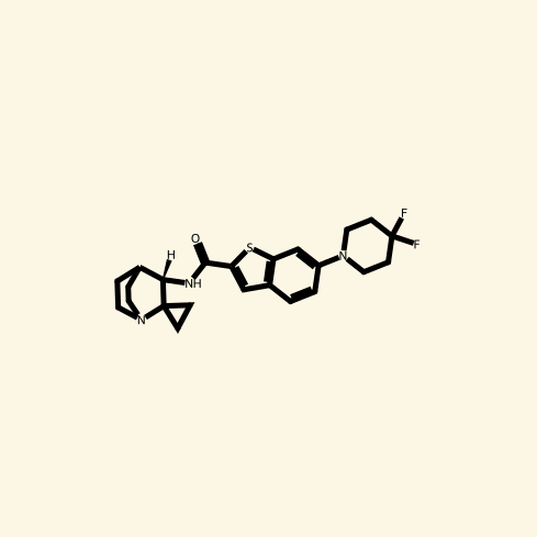 O=C(N[C@H]1C2CCN(CC2)C12CC2)c1cc2ccc(N3CCC(F)(F)CC3)cc2s1